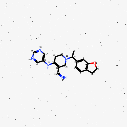 CC(c1ccc2c(c1)OCC2)N1CCC(Nc2cncnc2)=C(C=N)C1